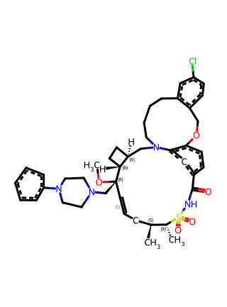 CO[C@@]1(CN2CCN(c3ccccc3)CC2)/C=C/C[C@H](C)[C@@H](C)S(=O)(=O)NC(=O)c2ccc3c(c2)N(CCCCc2cc(Cl)ccc2CO3)C[C@@H]2CC[C@H]21